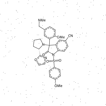 CNCc1ccc(OC)c(C2(N3CCC[C@H]3c3ncco3)C(=O)N(S(=O)(=O)c3ccc(OC)cc3)c3ccc(C#N)cc32)c1